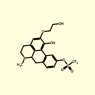 CN1CCc2cc(OCCO)c(O)c3c2C1Cc1ccc(OS(=O)(=O)C(F)(F)F)cc1-3